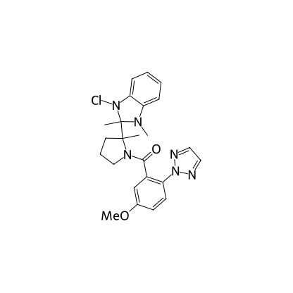 COc1ccc(-n2nccn2)c(C(=O)N2CCCC2(C)C2(C)N(C)c3ccccc3N2Cl)c1